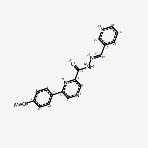 COc1ccc(-c2cncc(C(=O)N/N=C/c3cccnc3)n2)cc1